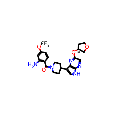 Nc1cc(OC(F)(F)F)ccc1C(=O)N1CCC(c2c[nH]c3ncc(O[C@H]4CCOC4)nc23)CC1